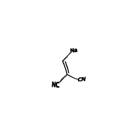 N#CC(C#N)=[CH][Na]